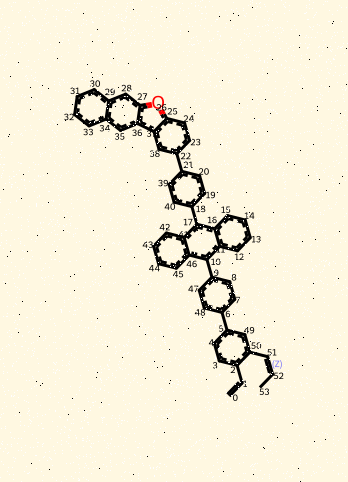 C=Cc1ccc(-c2ccc(-c3c4ccccc4c(-c4ccc(-c5ccc6oc7cc8ccccc8cc7c6c5)cc4)c4ccccc34)cc2)cc1/C=C\C